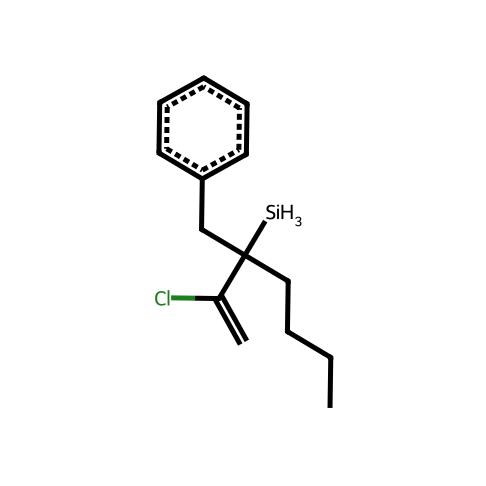 C=C(Cl)C([SiH3])(CCCC)Cc1ccccc1